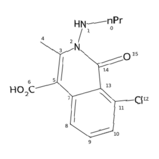 CCCNn1c(C)c(C(=O)O)c2cccc(Cl)c2c1=O